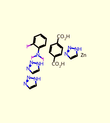 Ic1ccccc1N(I)I.O=C(O)c1ccc(C(=O)O)cc1.[Zn].c1c[nH]nn1.c1c[nH]nn1.c1c[nH]nn1